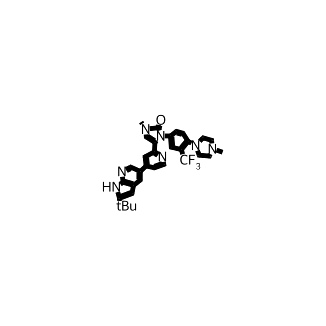 CN1CCN(c2ccc(-n3c(-c4cc(-c5cnc6[nH]c(C(C)(C)C)cc6c5)ccn4)cn(C)c3=O)cc2C(F)(F)F)CC1